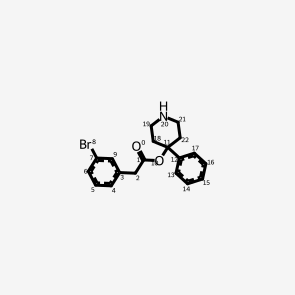 O=C(Cc1cccc(Br)c1)OC1(c2ccccc2)CCNCC1